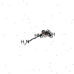 NCCCCCCCCCCCNC(=O)COc1cccc2c1C(=O)N(C1CCC(=O)NC1=O)C2=O